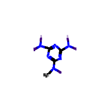 CN(I)c1nc(N(I)I)nc(N(I)I)n1